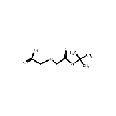 CC(C)(C)OC(=O)COCC(=O)S